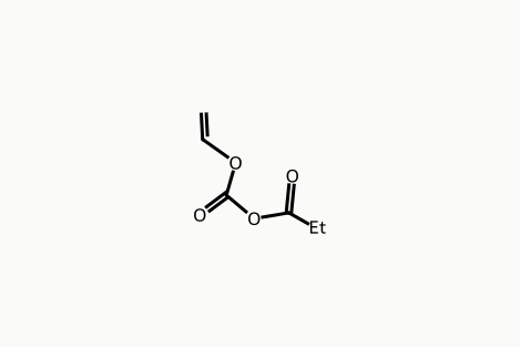 C=COC(=O)OC(=O)CC